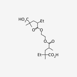 CCC(CC(C)(C)C(=O)O)C(=O)OCCOC(=O)C(C)CC(C)(CC)C(=O)O